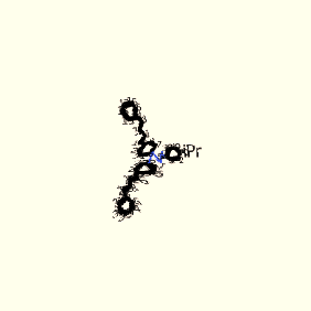 CC(C)c1ccc(N(c2ccc(C=CC=Cc3ccccc3)cc2)c2ccc(C=CC=Cc3ccccc3)cc2)cc1